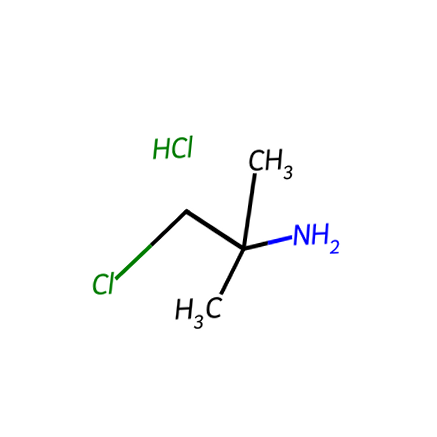 CC(C)(N)CCl.Cl